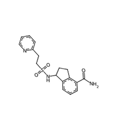 NC(=O)c1cccc2c1CCC2NS(=O)(=O)CCc1ccccn1